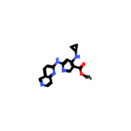 COC(=O)c1cnc(Nc2ccc3cnccc3n2)cc1NC1CC1